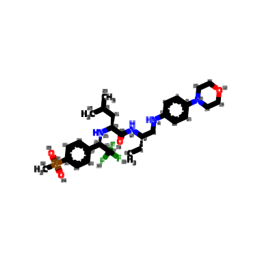 CC[C@@H](CNc1ccc(N2CCOCC2)cc1)NC(=O)[C@H](CC(C)C)N[C@@H](c1ccc(S(C)(=O)=O)cc1)C(F)(F)F